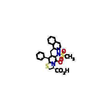 CS(=O)(=O)Nc1c(Cc2cccc3ccccc23)c(-c2ccccc2)c2n(c1=O)[C@H](C(=O)O)CS2